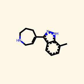 Cc1cccc2c(C3=CCNCCC3)n[nH]c12